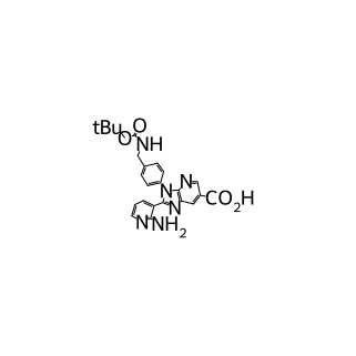 CC(C)(C)OC(=O)NCc1ccc(-n2c(-c3cccnc3N)nc3cc(C(=O)O)cnc32)cc1